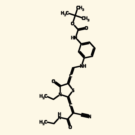 CCNC(=O)C(=C=c1sc(=C=CNc2cccc(NC(=O)OC(C)(C)C)c2)c(=O)n1CC)C#N